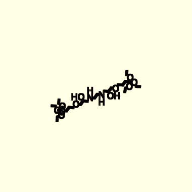 CCOC(CCCOCC(O)CNCCNCC(O)COCCC[Si](OCC)(OCC)OCC)(OCC)OCC